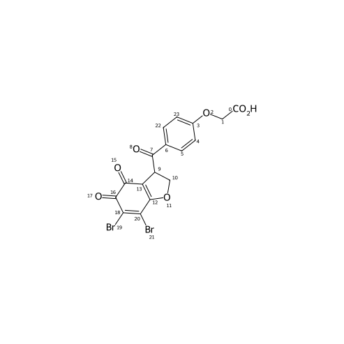 O=C(O)COc1ccc(C(=O)C2COC3=C2C(=O)C(=O)C(Br)=C3Br)cc1